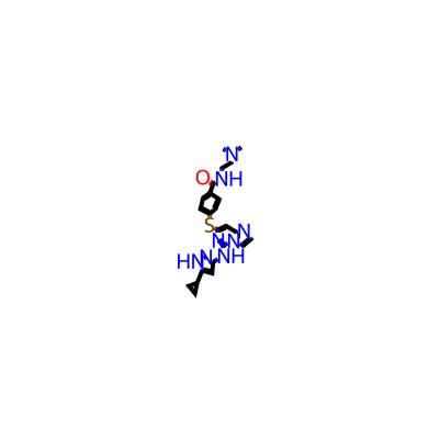 CN(C)CCNC(=O)c1ccc(Sc2cc3nccn3c(Nc3cc(C4CC4)[nH]n3)n2)cc1